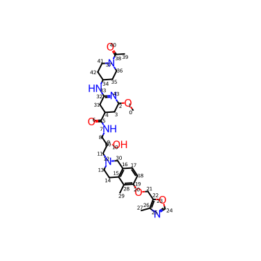 COC1CC(C(=O)NC[C@H](O)CN2CCc3c(ccc(OCc4ocnc4C)c3C)C2)CC(NC2CCN(C(C)=O)CC2)=N1